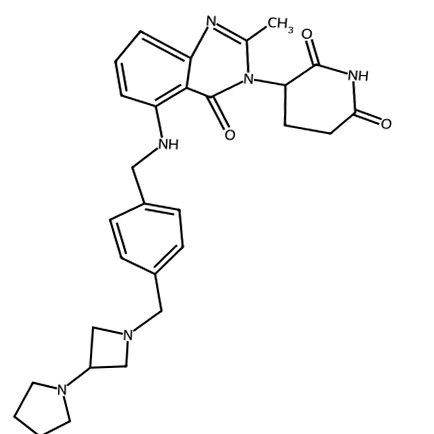 Cc1nc2cccc(NCc3ccc(CN4CC(N5CCCC5)C4)cc3)c2c(=O)n1C1CCC(=O)NC1=O